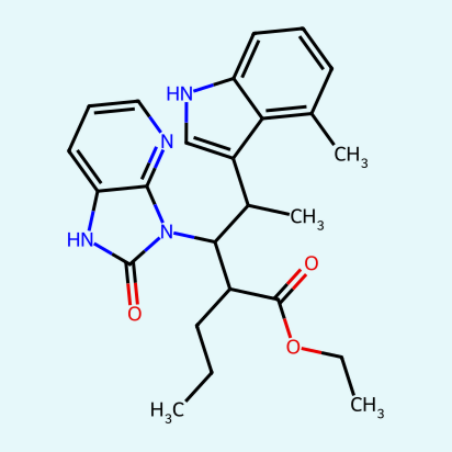 CCCC(C(=O)OCC)C(C(C)c1c[nH]c2cccc(C)c12)n1c(=O)[nH]c2cccnc21